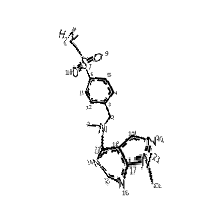 CN(Cc1ccc(S(N)(=O)=O)cc1)c1ncnc2c1cnn2C